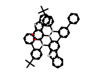 CC(C)(C)c1ccc(N2B3c4c(cc5c(oc6ccccc65)c4N(c4ccc(C(C)(C)C)cc4-c4ccccc4)c4ccc5sc6ccccc6c5c43)-c3ccc(-c4ccccc4)cc32)cc1